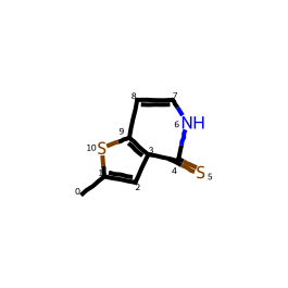 Cc1cc2c(=S)[nH]ccc2s1